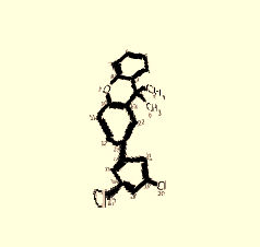 CC1(C)c2ccccc2Oc2ccc(-c3cc(Cl)cc(Cl)c3)cc21